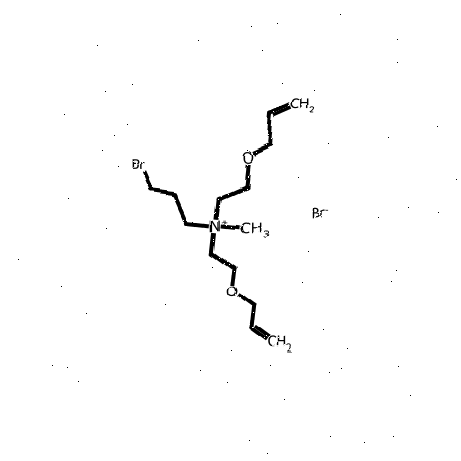 C=CCOCC[N+](C)(CCCBr)CCOCC=C.[Br-]